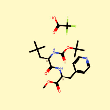 COC(=O)[C@H](Cc1ccncc1)NC(=O)[C@@H](CC(C)(C)C)NC(=O)OC(C)(C)C.O=C(O)C(F)(F)F